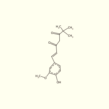 COc1cc(C=CC(=O)CC(=O)C(C)(C)C)ccc1O